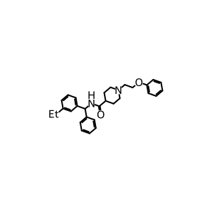 CCc1cccc(C(NC(=O)C2CCN(CCOc3ccccc3)CC2)c2ccccc2)c1